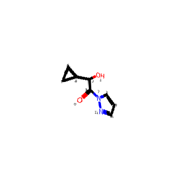 O=C(C(O)C1CC1)n1cccn1